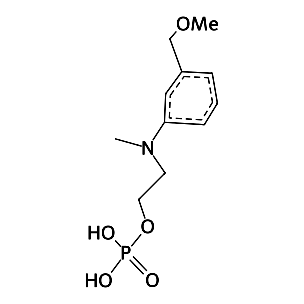 COCc1cccc(N(C)CCOP(=O)(O)O)c1